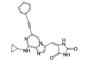 O=C1NC(=O)/C(=C\c2cnc3c(NC4CC4)nc(C#Cc4ccccc4)cn23)N1